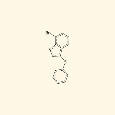 Brc1cccc2c(Sc3ccccc3)csc12